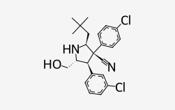 CC(C)(C)C[C@@H]1N[C@@H](CO)[C@H](c2cccc(Cl)c2)[C@@]1(C#N)c1ccc(Cl)cc1